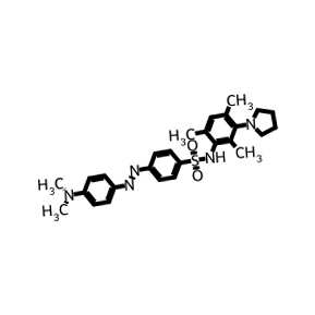 Cc1cc(C)c(N2CCCC2)c(C)c1NS(=O)(=O)c1ccc(/N=N/c2ccc(N(C)C)cc2)cc1